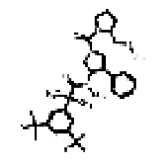 COC[C@@H]1CCCN1C(=O)N1CC(c2ccccc2)C(N(C)C(=O)C(C)(C)c2cc(C(F)(F)F)cc(C(F)(F)F)c2)C1